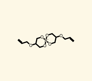 C=CCOC1CO[B-]2(OC1)OCC(OCC=C)CO2